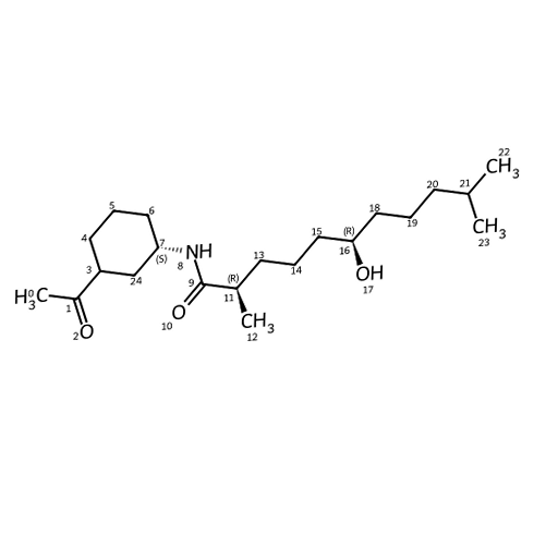 CC(=O)C1CCC[C@H](NC(=O)[C@H](C)CCC[C@H](O)CCCC(C)C)C1